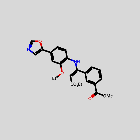 CCOC(=O)C=C(Nc1ccc(-c2cnco2)cc1OCC)c1cccc(C(=O)OC)c1